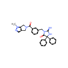 Cn1ncc2c1CN(C(=O)c1cccc(CN3C(=N)NC(c4ccccc4)(c4ccccc4)C3=O)c1)C2